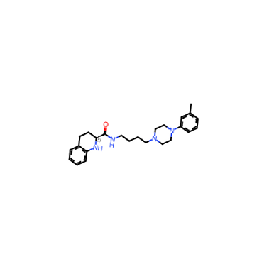 Cc1cccc(N2CCN(CCCCNC(=O)[C@@H]3CCc4ccccc4N3)CC2)c1